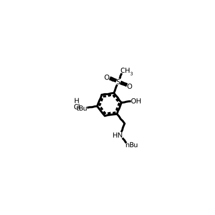 CCCCNCc1cc(C(C)(C)C)cc(S(C)(=O)=O)c1O.Cl